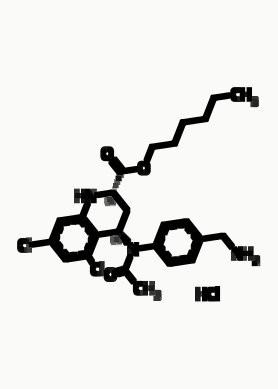 CCCCCCOC(=O)[C@@H]1C[C@@H](N(C(C)=O)c2ccc(CN)cc2)c2c(Cl)cc(Cl)cc2N1.Cl